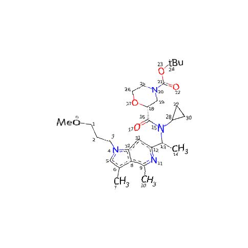 COCCCn1cc(C)c2c(C)nc(C(C)N(C(=O)[C@H]3CN(C(=O)OC(C)(C)C)CCO3)C3CC3)cc21